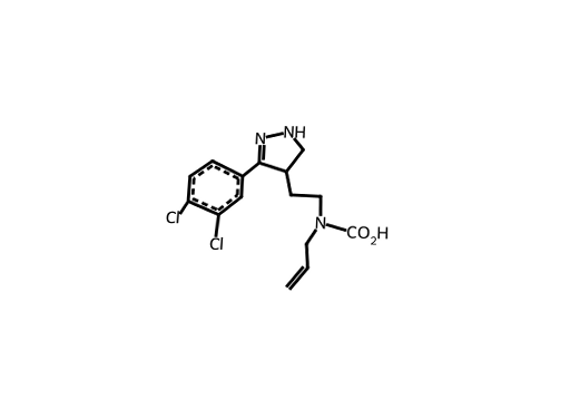 C=CCN(CCC1CNN=C1c1ccc(Cl)c(Cl)c1)C(=O)O